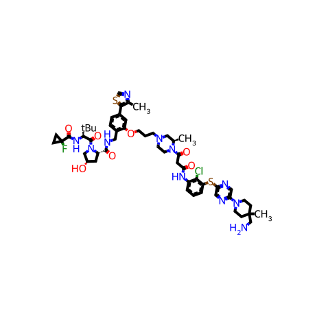 Cc1ncsc1-c1ccc(CNC(=O)[C@@H]2C[C@@H](O)CN2C(=O)[C@@H](NC(=O)C2(F)CC2)C(C)(C)C)c(OCCCN2CCN(C(=O)CC(=O)Nc3cccc(Sc4cnc(N5CCC(C)(CN)CC5)cn4)c3Cl)[C@H](C)C2)c1